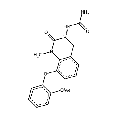 COc1ccccc1Oc1cccc2c1N(C)C(=O)[C@H](NC(N)=O)C2